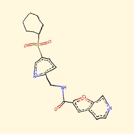 O=C(NCc1ccc(S(=O)(=O)C2CCCCC2)cn1)c1cc2ccncc2o1